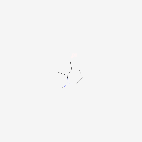 CC1C(CO)CCCN1C